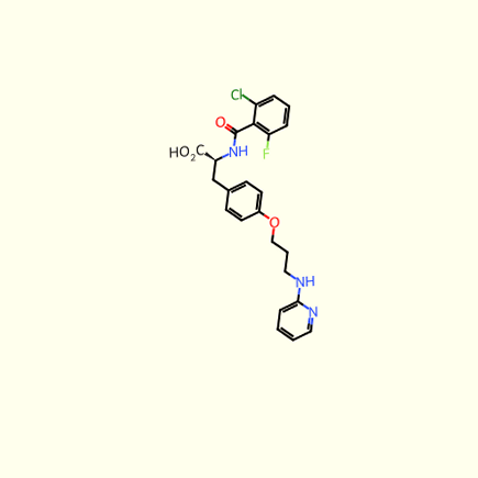 O=C(N[C@@H](Cc1ccc(OCCCNc2ccccn2)cc1)C(=O)O)c1c(F)cccc1Cl